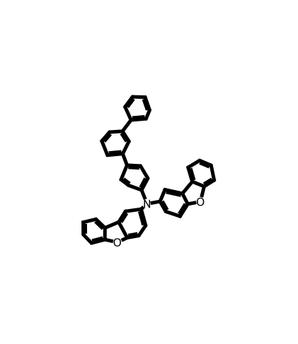 c1ccc(-c2cccc(-c3ccc(N(c4ccc5oc6ccccc6c5c4)c4ccc5oc6ccccc6c5c4)cc3)c2)cc1